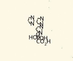 O=C(O)P(=O)(O)O.c1cncnc1.c1cncnc1.c1cncnc1